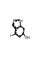 Oc1cc(F)c2cn[nH]c2c1